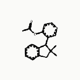 CC(=O)Oc1ccncc1C1c2ccccc2CC1(C)C